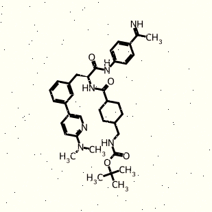 CC(=N)c1ccc(NC(=O)[C@H](Cc2cccc(-c3ccc(N(C)C)nc3)c2)NC(=O)C2CCC(CNC(=O)OC(C)(C)C)CC2)cc1